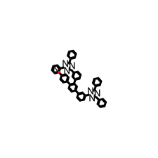 N#Cc1ccc(-c2ccc(-c3cccc(-c4nc(-c5ccccc5)nc(-c5ccccc5)n4)c3)cc2-c2cccc(-c3nc(-c4ccccc4)nc(-c4ccccc4)n3)c2)cc1